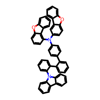 c1ccc(-c2ccccc2-n2c3ccccc3c3ccccc32)c(-c2ccc(N(c3ccc4oc5ccccc5c4c3)c3cccc4oc5ccccc5c34)cc2)c1